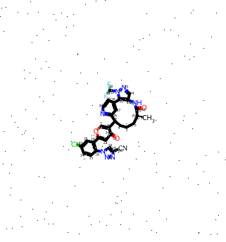 C[C@H]1CCCC(c2coc(-c3cc(Cl)ccc3-n3cc(C#N)nn3)cc2=O)c2cc(ccn2)-c2c(cnn2C(F)F)NC1=O